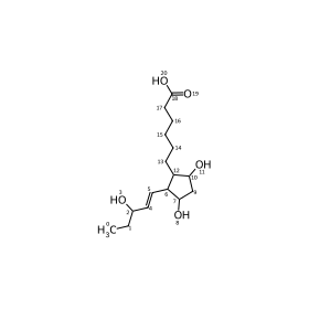 CCC(O)C=CC1C(O)CC(O)C1CCCCCC(=O)O